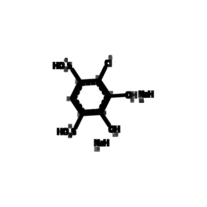 O=S(=O)(O)c1cc(S(=O)(=O)O)c(Cl)c(O)c1O.[NaH].[NaH]